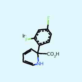 O=C(O)C1(c2ccc(F)cc2F)C=CC=CN1.[Ir]